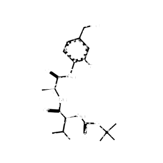 CC(C)[C@H](NC(=O)OC(C)(C)C)C(=O)N[C@@H](C)C(=O)Nc1ccc(CO)cc1F